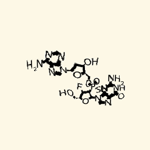 Nc1nc2c(ncn2C2O[C@H](CO)[C@@H](F)[C@H]2[P@](=O)(S)OC[C@H]2O[C@@H](n3cnc4c(N)ncnc43)C[C@@H]2O)c(=O)[nH]1